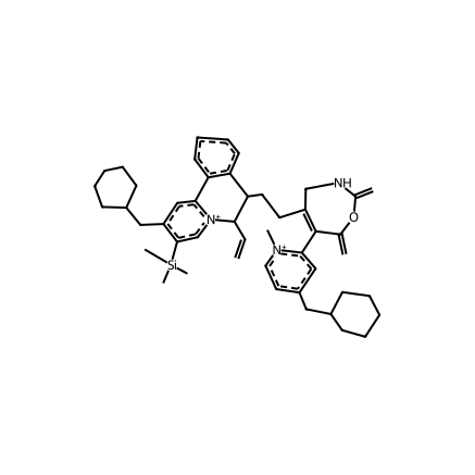 C=CC1C(CCC2=C(c3cc(CC4CCCCC4)cc[n+]3C)C(=C)OC(=C)NC2)c2ccccc2-c2cc(CC3CCCCC3)c([Si](C)(C)C)c[n+]21